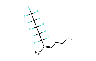 CCCC=C(C)C(F)(F)C(F)(F)C(F)(F)C(F)(F)C(F)(F)F